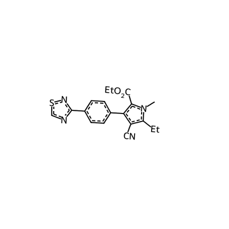 CCOC(=O)c1c(-c2ccc(-c3ncsn3)cc2)c(C#N)c(CC)n1C